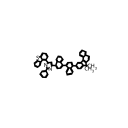 CC1(C)c2ccc(-c3ccc(-c4ccc(-c5cc(-c6cccc7sc8ccccc8c67)nc(-c6ccccc6)n5)c5ccccc45)c4ccccc34)cc2-c2c1ccc1ccccc21